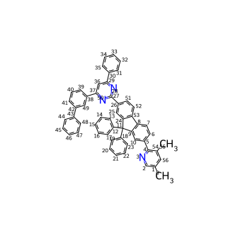 Cc1cnc(-c2ccc3c(c2)C(c2ccccc2)(c2ccccc2)c2cc(-c4nc(-c5ccccc5)cc(-c5cccc(-c6ccccc6)c5)n4)ccc2-3)c(C)c1